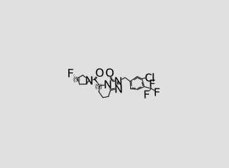 O=C([C@@H]1CCCc2nn(Cc3ccc(C(F)(F)F)c(Cl)c3)c(=O)n21)N1CC[C@H](F)C1